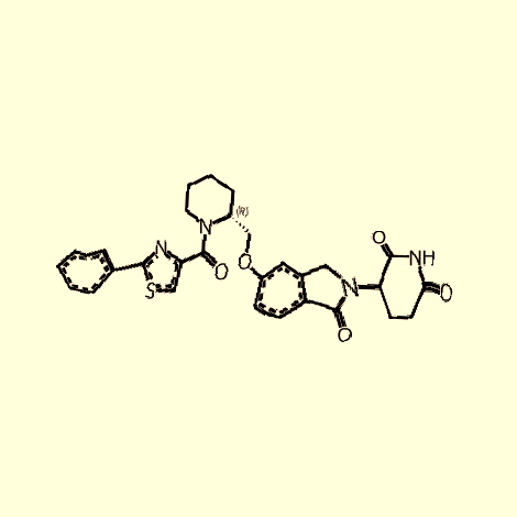 O=C1CCC(N2Cc3cc(OC[C@H]4CCCCN4C(=O)c4csc(-c5ccccc5)n4)ccc3C2=O)C(=O)N1